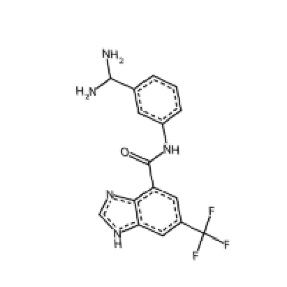 NC(N)c1cccc(NC(=O)c2cc(C(F)(F)F)cc3[nH]cnc23)c1